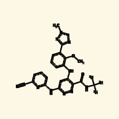 [2H]C([2H])([2H])NC(=O)c1nnc(Nc2cccc(C#N)n2)cc1Nc1cccc(-c2ncn(C)n2)c1OC